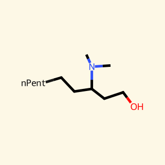 CCCCCCCC(CCO)N(C)C